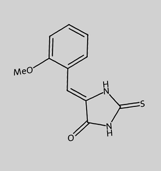 COc1ccccc1C=C1NC(=S)NC1=O